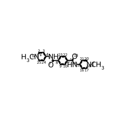 C[n+]1ccc(NC(=O)c2ccc(C(=O)Nc3cc[n+](C)cc3)cc2)cc1